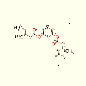 C=CC(C)CC(=O)Oc1cccc(OC(=O)CC(C)C=C)c1